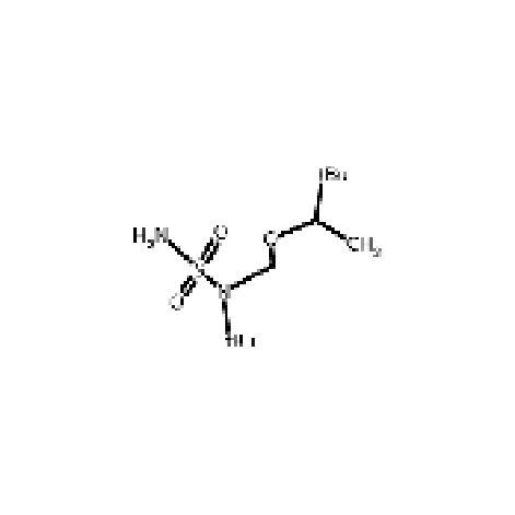 CC(OCN(C(C)(C)C)S(N)(=O)=O)C(C)(C)C